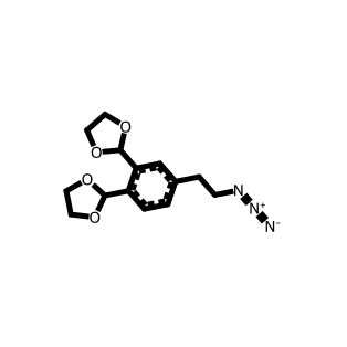 [N-]=[N+]=NCCc1ccc(C2OCCO2)c(C2OCCO2)c1